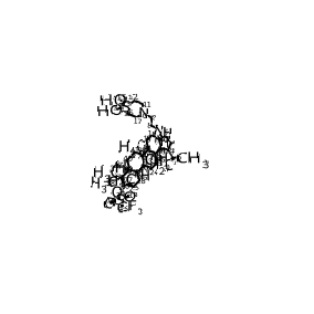 C=C(C)[C@@H]1CC[C@]2(NCCN3CCS(O)(O)CC3)CC[C@]3(C)[C@H](CC[C@@H]4[C@@]5(C)CC=C(OS(=O)(=O)C(F)(F)F)C(C)(C)[C@@H]5CC[C@]43C)[C@@H]12